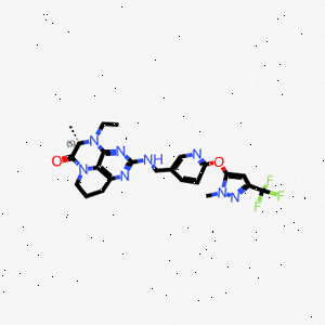 CCN1c2nc(NCc3ccc(Oc4cc(C(F)(F)F)nn4C)nc3)nc3c2N(CCC3)C(=O)[C@@H]1C